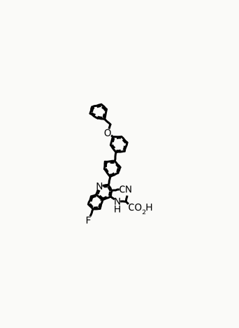 CC(Nc1c(C#N)c(-c2ccc(-c3cccc(OCc4ccccc4)c3)cc2)nc2ccc(F)cc12)C(=O)O